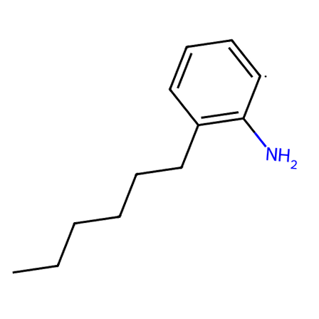 CCCCCCc1ccc[c]c1N